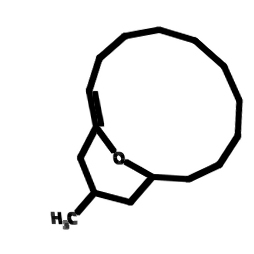 CC1CC2=CCCCCCCCCCC(C1)O2